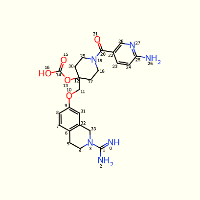 N=C(N)N1CCc2ccc(OCC3(OC(=O)O)CCN(C(=O)c4ccc(N)nc4)CC3)cc2C1